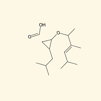 CC(=CC(C)C)C(C)OC1CC1CC(C)C.O=CO